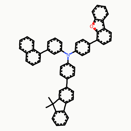 CC1(C)c2ccccc2-c2ccc(-c3ccc(N(c4ccc(-c5cccc6c5oc5ccccc56)cc4)c4cccc(-c5cccc6ccccc56)c4)cc3)cc21